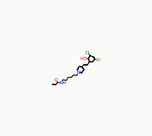 C=CC(=O)NCCCCCC[n+]1ccc(/C=C/c2cc(Cl)cc(Cl)c2O)cc1